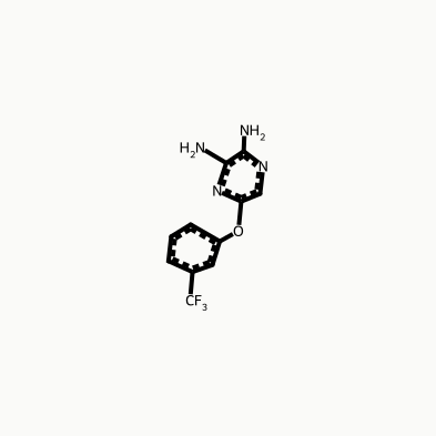 Nc1ncc(Oc2cccc(C(F)(F)F)c2)nc1N